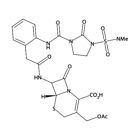 CNS(=O)(=O)N1CCN(C(=O)Nc2ccccc2CC(=O)NC2C(=O)N3C(C(=O)O)=C(COC(C)=O)CS[C@H]23)C1=O